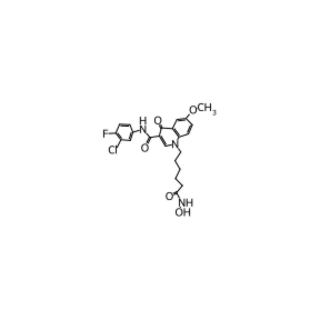 COc1ccc2c(c1)c(=O)c(C(=O)Nc1ccc(F)c(Cl)c1)cn2CCCCCC(=O)NO